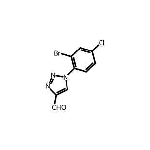 O=Cc1cn(-c2ccc(Cl)cc2Br)nn1